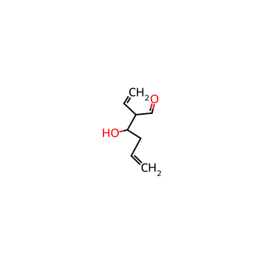 C=CCC(O)C(C=C)C=O